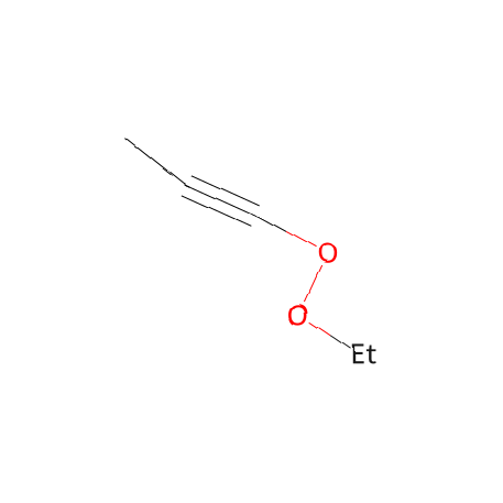 CC#COOCC